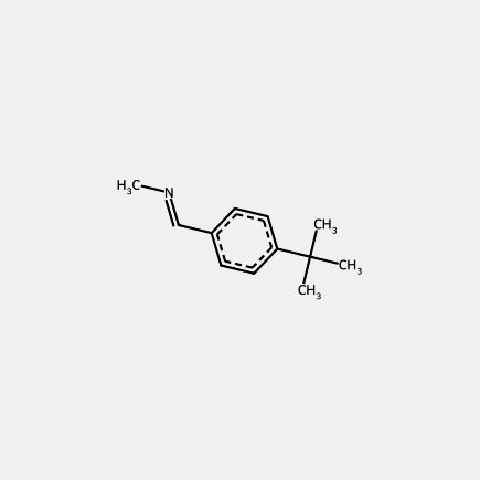 CN=Cc1ccc(C(C)(C)C)cc1